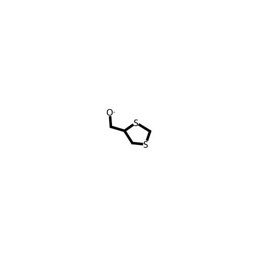 [O]CC1CSCS1